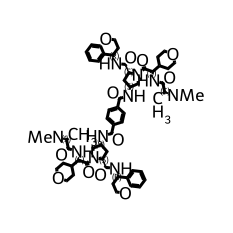 CN[C@@H](C)C(=O)N[C@H](C(=O)N1C[C@@H](NC(=O)c2ccc(C(=O)N[C@H]3C[C@@H](C(=O)N[C@@H]4CCOc5ccccc54)N(C(=O)[C@@H](NC(=O)[C@H](C)NC)C4CCOCC4)C3)cc2)C[C@H]1C(=O)N[C@@H]1CCOc2ccccc21)C1CCOCC1